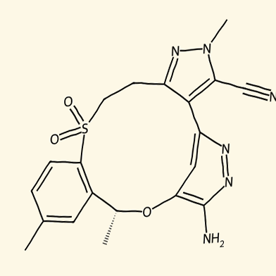 Cc1ccc2c(c1)[C@@H](C)Oc1cc(nnc1N)-c1c(nn(C)c1C#N)CCS2(=O)=O